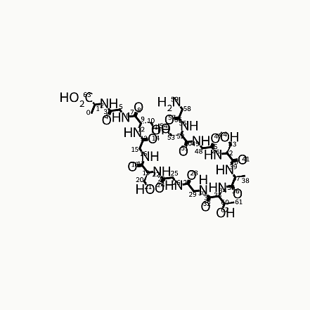 C[C@H](NC(=O)CNC(=O)[C@H](CO)NC(=O)CNC(=O)[C@H](CO)NC(=O)CNC(=O)CNC(=O)[C@@H](NC(=O)[C@H](C)NC(=O)[C@H](CO)NC(=O)CNC(=O)[C@H](CO)NC(=O)CN)[C@@H](C)O)C(=O)O